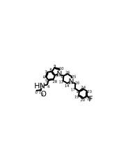 CC(=O)NCc1ccc2ccn(C3CCN(CCc4ccc(F)cc4)CC3)c2c1